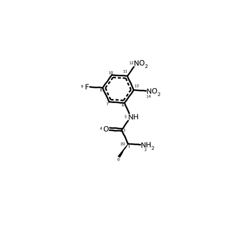 C[C@H](N)C(=O)Nc1cc(F)cc([N+](=O)[O-])c1[N+](=O)[O-]